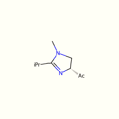 CC(=O)[C@H]1CN(C)C(C(C)C)=N1